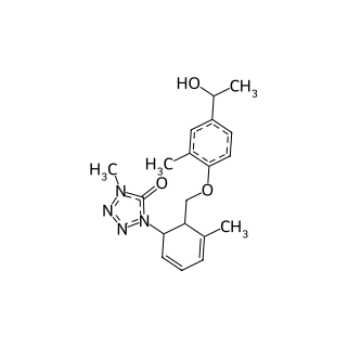 CC1=CC=CC(n2nnn(C)c2=O)C1COc1ccc(C(C)O)cc1C